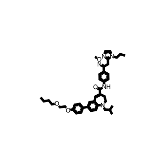 CCCCOCCOc1ccc(-c2ccc3c(c2)C=C(C(=O)Nc2ccc(C(Cc4nccn4CCC)=NOC)cc2)CCN3CC(C)C)cc1